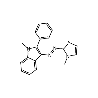 CN1C=CSC1N=Nc1c(-c2ccccc2)n(C)c2ccccc12